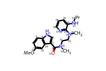 COc1ccc2[nH]cc(C(=O)N(C)CCN(C)c3ncccc3NC(C)C)c2c1